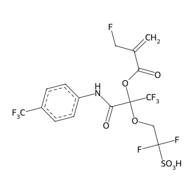 C=C(CF)C(=O)OC(OCC(F)(F)S(=O)(=O)O)(C(=O)Nc1ccc(C(F)(F)F)cc1)C(F)(F)F